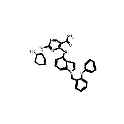 NC(=O)c1cnc(N[C@@H]2CCCC[C@@H]2N)nc1Nc1cccc2c1ccn2Cc1ccccc1Oc1ccccc1